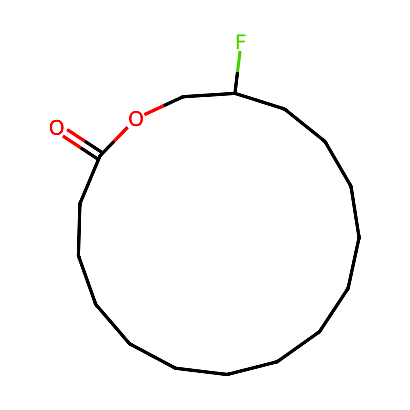 O=C1CCCCCCCCCCCCCC(F)CO1